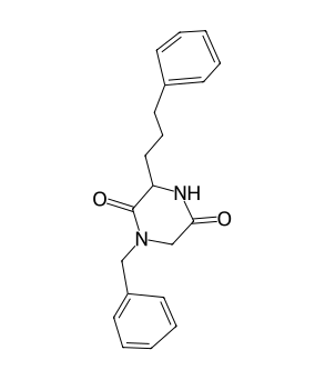 O=C1CN(Cc2ccccc2)C(=O)C(CCCc2ccccc2)N1